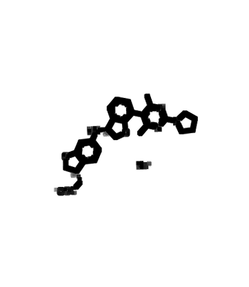 Cc1nc(N2CCCC2)nc(C)c1-c1cccc2c1OC[C@H]2Nc1ccc2c(c1)OC[C@H]2CC(=O)[O-].[Na+]